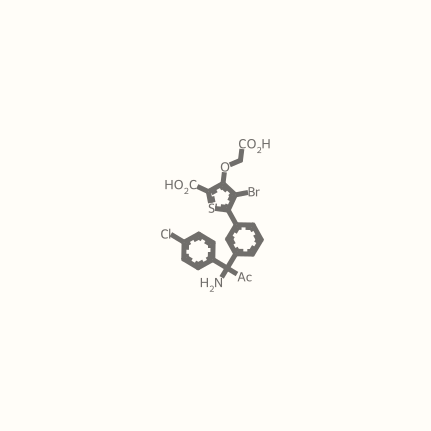 CC(=O)C(N)(c1ccc(Cl)cc1)c1cccc(-c2sc(C(=O)O)c(OCC(=O)O)c2Br)c1